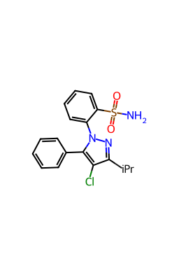 CC(C)c1nn(-c2ccccc2S(N)(=O)=O)c(-c2ccccc2)c1Cl